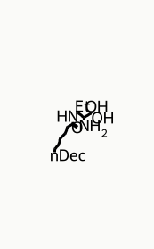 CCCCCCCCCCCCCCCC(=O)NC(CC)C(N)C(O)O